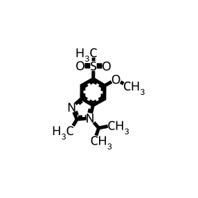 COc1cc2c(cc1S(C)(=O)=O)nc(C)n2C(C)C